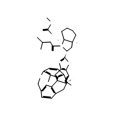 COC(=O)N[C@H](C(=O)N1[C@H](c2nc3cc(-c4cc5ccc4C[C@@H](C)c4ccc(c(C)c4)CC5)ccc3[nH]2)C[C@@H]2CCCC[C@@H]21)C(C)C